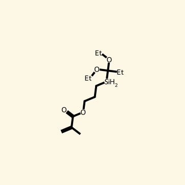 C=C(C)C(=O)OCCC[SiH2]C(CC)(OCC)OCC